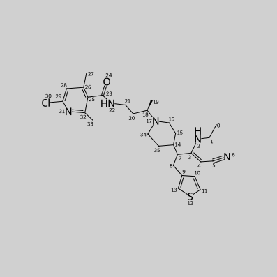 CCNC(=CC#N)C(Cc1ccsc1)C1CCN([C@H](C)CCNC(=O)c2c(C)cc(Cl)nc2C)CC1